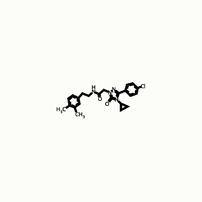 Cc1ccc(CCNC(=O)Cn2nc(-c3ccc(Cl)cc3)n(C3CC3)c2=O)cc1C